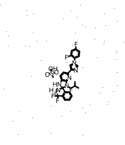 CC(C)CN1c2nc(-c3cn(-c4ccc(F)cc4F)cn3)ccc2NC1(N)c1c(F)cccc1C(F)(F)F.CS(=O)(=O)O